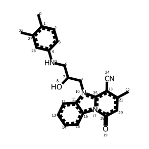 Cc1ccc(NCC(O)Cn2c3ccccc3n3c(=O)cc(C)c(C#N)c23)cc1C